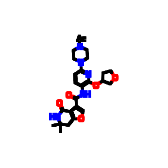 CC(=O)N1CCN(c2ccc(NC(=O)c3coc4c3C(=O)NC(C)(C)C4)c(O[C@H]3CCOC3)n2)CC1